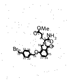 COC(=O)CC[C@@H](C(N)=O)N1Cc2c(OCc3ccc(CBr)cc3)cccc2C1=O